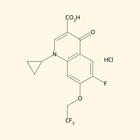 Cl.O=C(O)c1cn(C2CC2)c2cc(OCC(F)(F)F)c(F)cc2c1=O